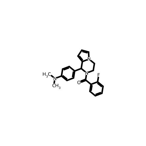 CN(C)c1ccc(C2c3cccn3CCN2C(=O)c2ccccc2F)cc1